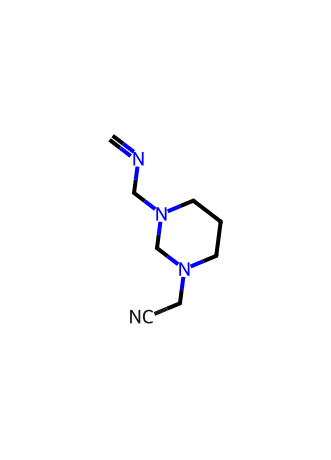 C=NCN1CCCN(CC#N)C1